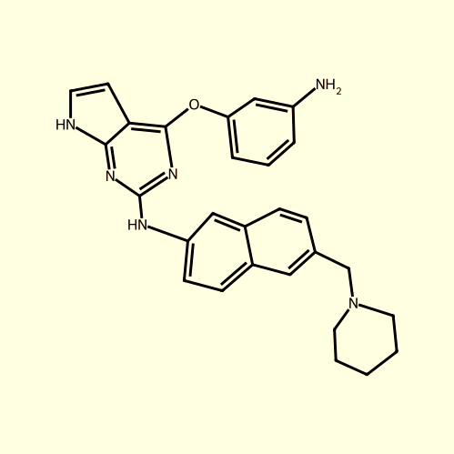 Nc1cccc(Oc2nc(Nc3ccc4cc(CN5CCCCC5)ccc4c3)nc3[nH]ccc23)c1